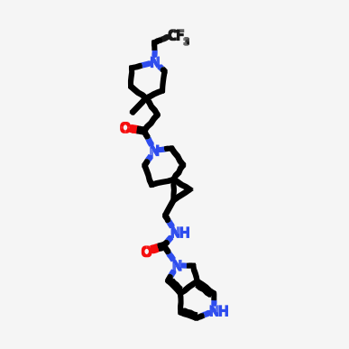 CC1(CC(=O)N2CCC3(CC2)CC3CNC(=O)N2C=C3C=CNC=C3C2)CCN(CC(F)(F)F)CC1